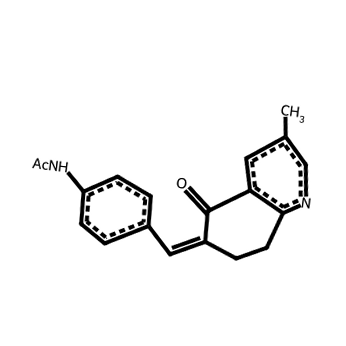 CC(=O)Nc1ccc(C=C2CCc3ncc(C)cc3C2=O)cc1